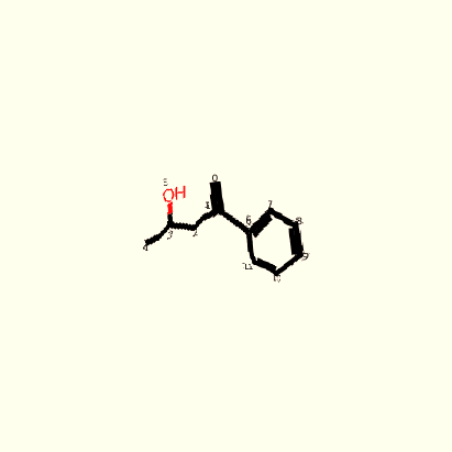 C=C(CC(C)O)c1ccccc1